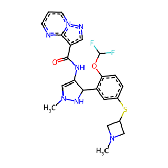 CN1CC(Sc2ccc(OC(F)F)c(C3NN(C)C=C3NC(=O)c3cnn4cccnc34)c2)C1